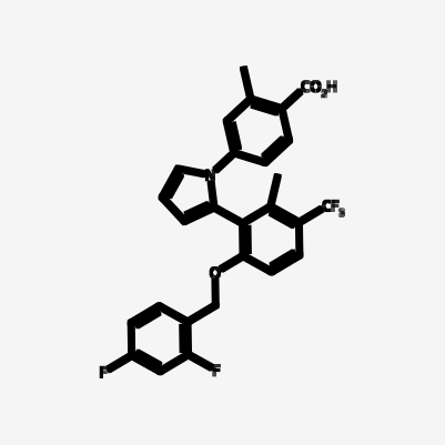 Cc1cc(-n2cccc2-c2c(OCc3ccc(F)cc3F)ccc(C(F)(F)F)c2C)ccc1C(=O)O